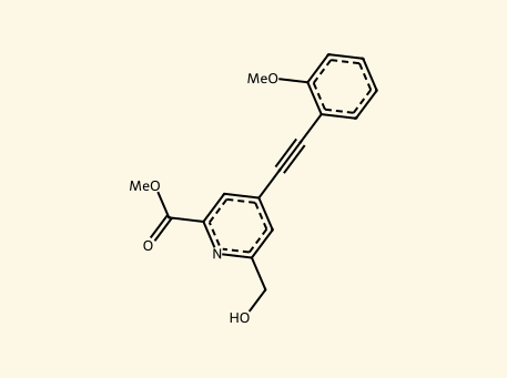 COC(=O)c1cc(C#Cc2ccccc2OC)cc(CO)n1